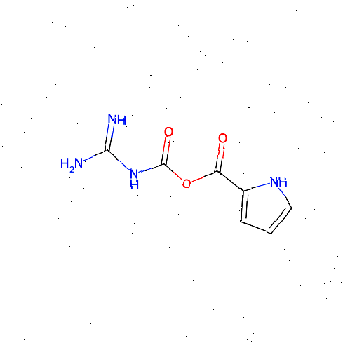 N=C(N)NC(=O)OC(=O)c1ccc[nH]1